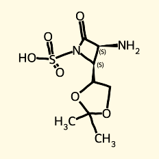 CC1(C)OCC([C@@H]2[C@H](N)C(=O)N2S(=O)(=O)O)O1